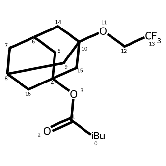 CCC(C)C(=O)OC12CC3CC(CC(OCC(F)(F)F)(C3)C1)C2